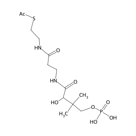 CC(=O)SCCNC(=O)CCNC(=O)C(O)C(C)(C)COP(=O)(O)O